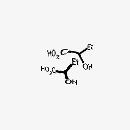 CCC(O)C(=O)O.CCC(O)C(=O)O